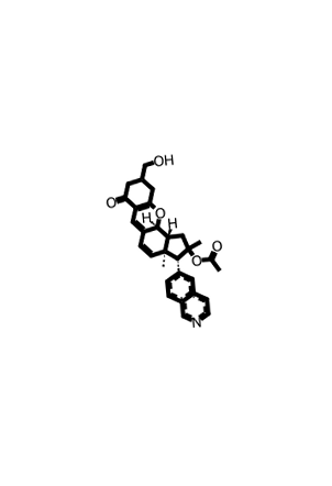 CC(=O)OC1(C)C[C@H]2[C@@H]3OC4=C(C=C3C=C[C@]2(C)[C@H]1c1ccc2cnccc2c1)C(=O)CC(CO)C4